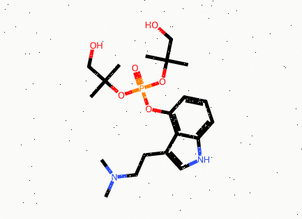 CN(C)CCc1c[nH]c2cccc(OP(=O)(OC(C)(C)CO)OC(C)(C)CO)c12